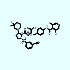 N#Cc1cccc(S(=O)(=O)N2CCC(N3CCCC(F)(F)C3)[C@H]2C(=O)N[C@@H](Cc2ccc(NC(=O)c3c(Cl)cncc3Cl)cc2)C(=O)O)c1